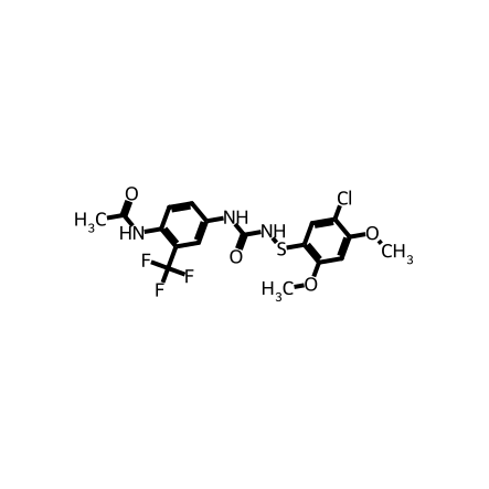 COc1cc(OC)c(SNC(=O)Nc2ccc(NC(C)=O)c(C(F)(F)F)c2)cc1Cl